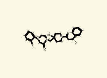 C[C@H](CC(=O)N1CCC(O)(CN2CCN(c3ccccc3F)CC2=O)CC1)c1ccccc1